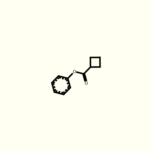 O=C(Oc1cc[c]cc1)C1CCC1